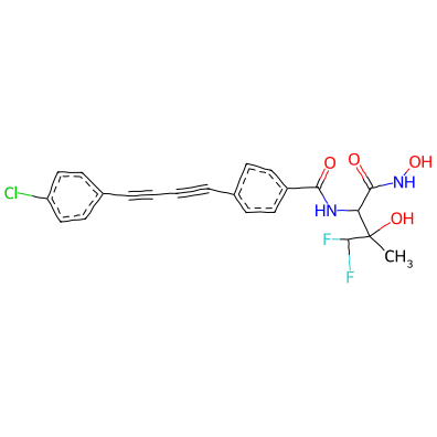 CC(O)(C(F)F)C(NC(=O)c1ccc(C#CC#Cc2ccc(Cl)cc2)cc1)C(=O)NO